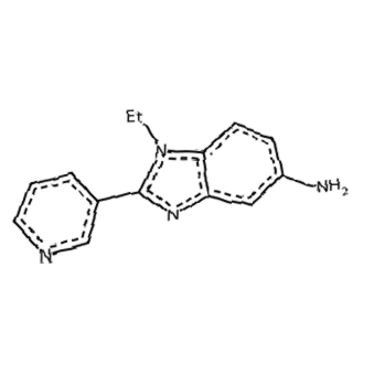 CCn1c(-c2cccnc2)nc2cc(N)ccc21